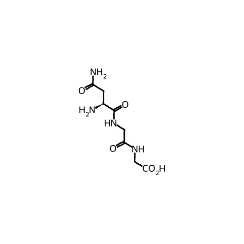 NC(=O)C[C@H](N)C(=O)NCC(=O)NCC(=O)O